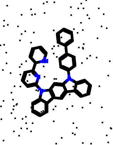 C1=CNC(c2cccc(-n3c4ccccc4c4cc5c6ccccc6n(-c6ccc(-c7ccccc7)cc6)c5cc43)n2)C=C1